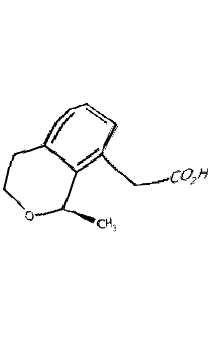 C[C@H]1OCCc2cccc(CC(=O)O)c21